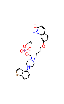 CC(C)OP(=O)([O-])OC[N+]1(CCCCOc2ccc3ccc(=O)[nH]c3c2)CCN(c2cccc3sccc23)CC1